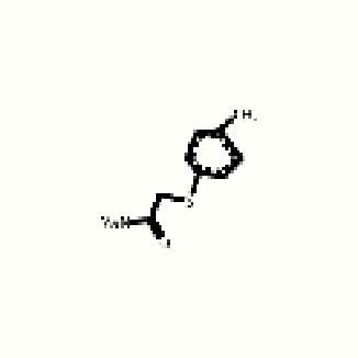 CNC(=O)CSc1ccc(C)cc1